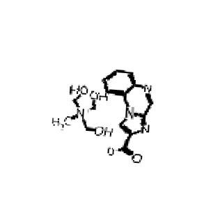 C[N+](CO)(CO)CO.O=C([O-])c1cn2c(cnc3ccccc32)n1